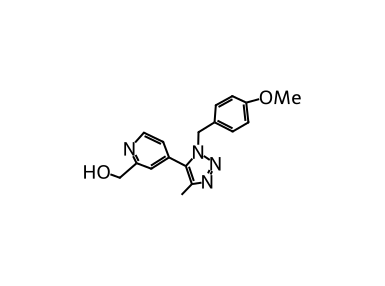 COc1ccc(Cn2nnc(C)c2-c2ccnc(CO)c2)cc1